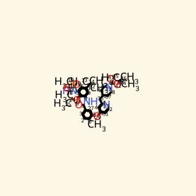 Cc1ccc(C(=O)Nc2cc(C(C)(C)C)cc(NS(C)(=O)=O)c2OC(C)C)cc1Oc1ccnc(CC2CCN(C(=O)OC(C)(C)C)CC2)c1